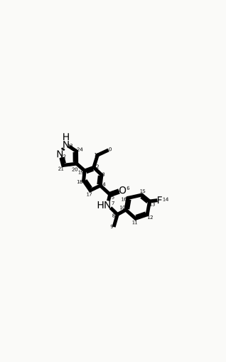 CCc1cc(C(=O)NC(C)c2ccc(F)cc2)ccc1-c1cn[nH]c1